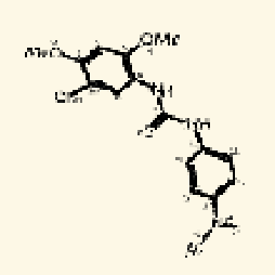 COc1cc(OC)c(NC(=S)Nc2ccc(N(C)C(C)=O)cc2)cc1Cl